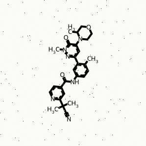 Cc1ccc(NC(=O)c2ccnc(C(C)(C)C#N)c2)cc1-c1cc(N2CCOCC2C)c(=O)n(C)n1